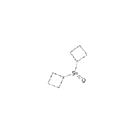 [O]=[Sn]([CH]1CCC1)[CH]1CCC1